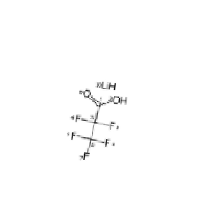 O=C(O)C(F)(F)C(F)(F)F.[LiH]